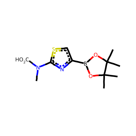 CN(C(=O)O)c1nc(B2OC(C)(C)C(C)(C)O2)cs1